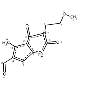 COCCn1c(=O)[nH]c2sc(C=O)c(C)c2c1=O